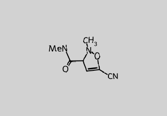 CNC(=O)C1C=C(C#N)ON1C